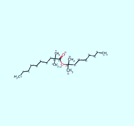 CCCCCCCCC(C)(C)C(=O)OC(C)(C)CCCCCCC